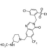 CCS(=O)(=O)c1ccc(Cl)cc1Cn1cnc2cc(CN3CCC[C@H](NC(=O)O)C3)c(C(F)(F)F)cc2c1=O